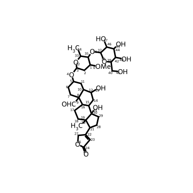 COC1CC(OC2CCC3(C=O)C(C2)C(O)CC2C3CCC3(C)C(C4=CC(=O)OC4)CCC23O)OC(C)C1OC1OC(CO)C(O)C(O)C1O